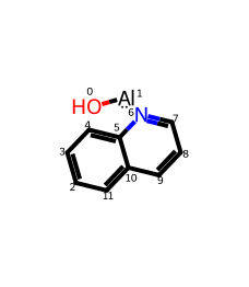 [OH][Al].c1ccc2ncccc2c1